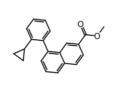 COC(=O)c1ccc2cccc(-c3ccccc3C3CC3)c2c1